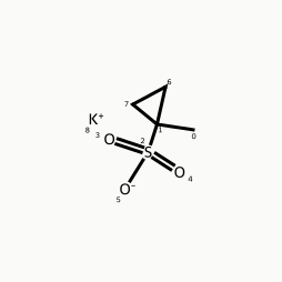 CC1(S(=O)(=O)[O-])CC1.[K+]